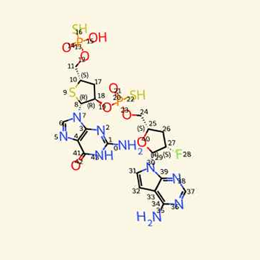 Nc1nc2c(ncn2[C@@H]2S[C@H](COP(=O)(O)S)C[C@H]2OP(=O)(S)OC[C@@H]2C[C@H](F)[C@H](n3ccc4c(N)ncnc43)O2)c(=O)[nH]1